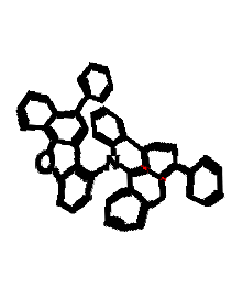 c1ccc(-c2ccc(-c3ccccc3N(c3cccc4ccccc34)c3cccc4oc5c6ccccc6c(-c6ccccc6)cc5c34)cc2)cc1